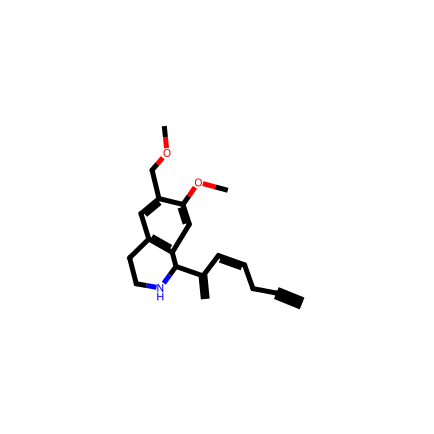 C#CC/C=C\C(=C)C1NCCc2cc(COC)c(OC)cc21